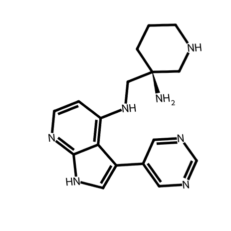 N[C@@]1(CNc2ccnc3[nH]cc(-c4cncnc4)c23)CCCNC1